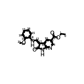 CCOC(=O)c1cnc2c(c1)/C(=C/Nc1ccccc1OC)C(=O)N2